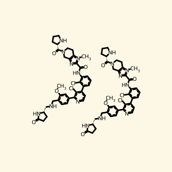 COc1cc(-c2nccc(-c3cccc(NC(=O)c4nc5c(n4C)CCN(C(=O)[C@@H]4CCCN4)C5)c3Cl)c2Cl)ccc1CNC[C@@H]1CCC(=O)N1.COc1cc(-c2nccc(-c3cccc(NC(=O)c4nc5c(n4C)CCN(C(=O)[C@@H]4CCCN4)C5)c3Cl)c2Cl)ccc1CNC[C@@H]1CCC(=O)N1